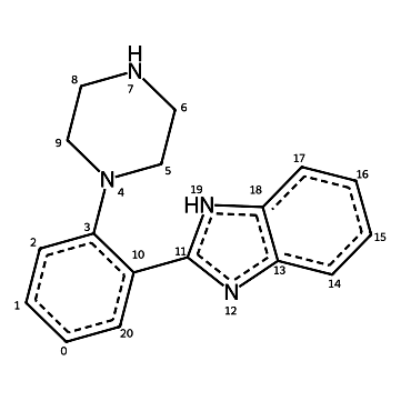 c1ccc(N2CCNCC2)c(-c2nc3ccccc3[nH]2)c1